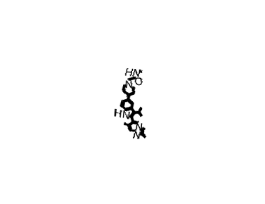 CNC(=O)CN1CCC(c2ccc3[nH]c(-c4cn5cc(C)nc5cc4C)c(C(C)C)c3c2)CC1